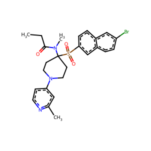 CCC(=O)N(C)C1(S(=O)(=O)c2ccc3cc(Br)ccc3c2)CCN(c2ccnc(C)c2)CC1